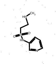 CNCCS(=O)(=O)Nc1cccnc1